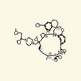 COCC(=O)N1CCN(C[C@]2(OC)/C=C/C[C@H](C)[C@@H](C)S(=O)(=O)NC(=O)c3ccc4c(c3)N(C[C@@H]3CCC32)C[C@@]2(CCCc3cc(Cl)ccc32)CO4)CC1